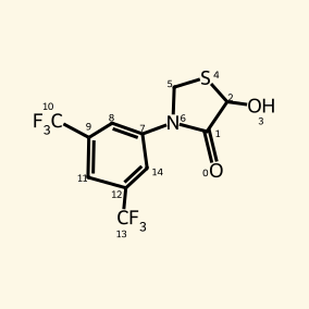 O=C1C(O)SCN1c1cc(C(F)(F)F)cc(C(F)(F)F)c1